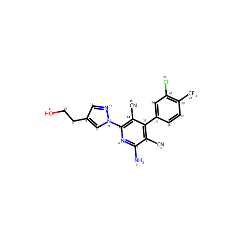 N#Cc1c(N)nc(-n2cc(CCO)cn2)c(C#N)c1-c1ccc(C(F)(F)F)c(Cl)c1